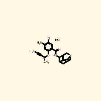 CC#C[C@H](C)Oc1cc(N)c(Cl)cc1C(=O)NC1C2CC3CC1CN(C3)C2.Cl